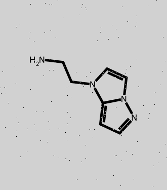 NCCn1ccn2nccc12